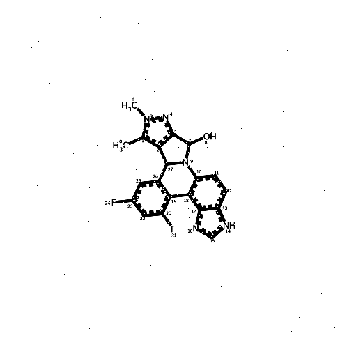 Cc1c2c(nn1C)C(O)N1c3ccc4[nH]cnc4c3-c3c(F)cc(F)cc3C21